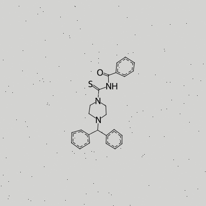 O=C(NC(=S)N1CCN(C(c2ccccc2)c2ccccc2)CC1)c1ccccc1